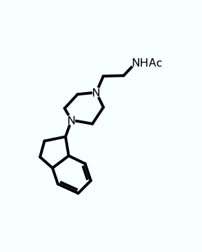 CC(=O)NCCN1CCN(C2CCC3C=CC=CC32)CC1